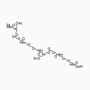 CCCOC(=O)NCCOCCOCCNC(=O)COCC(=O)OCCN(CCOC(C)=O)CC(=O)NCCOCCOCCNC(=O)COCC(=O)OCCN(CCOC(C)=O)CC(=O)NCC